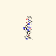 C=CC(=O)N1CCC[C@@H](NC(=O)c2sc3nccc4c3c2NC(=O)N4c2ccc(Oc3cccnc3C)cc2)C1